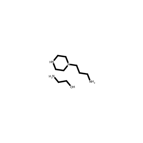 NCCCN1CCNCC1.NCCO